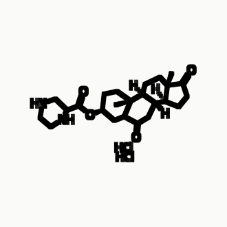 C[C@]12CC[C@H](OC(=O)C3CNCCN3)CC1C(=O)C[C@@H]1[C@@H]2CC[C@]2(C)C(=O)CC[C@@H]12.Cl.Cl